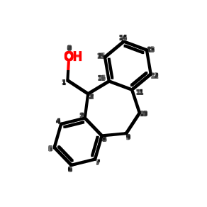 OCC1c2ccccc2CCc2ccccc21